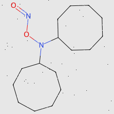 O=NON(C1CCCCCCC1)C1CCCCCCC1